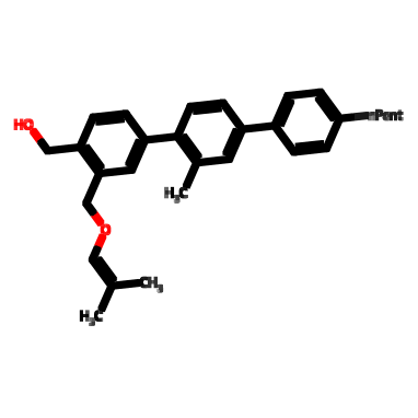 CCCCCc1ccc(-c2ccc(-c3ccc(CO)c(COC=C(C)C)c3)c(C)c2)cc1